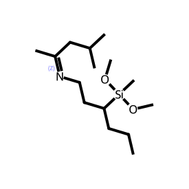 CCCC(CC/N=C(/C)CC(C)C)[Si](C)(OC)OC